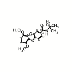 COc1ccc(OC)c2c1Oc1ccc(C(=O)NC(C)(C)C)cc1O2